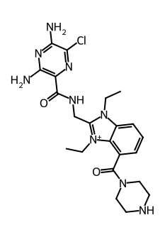 CCn1c(CNC(=O)c2nc(Cl)c(N)nc2N)[n+](CC)c2c(C(=O)N3CCNCC3)cccc21